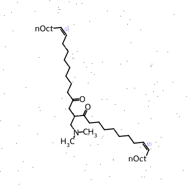 CCCCCCCC/C=C\CCCCCCCC(=O)CC(CN(C)C)C(=O)CCCCCCC/C=C\CCCCCCCC